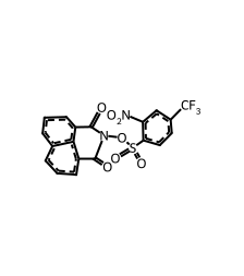 O=C1c2cccc3cccc(c23)C(=O)N1OS(=O)(=O)c1ccc(C(F)(F)F)cc1[N+](=O)[O-]